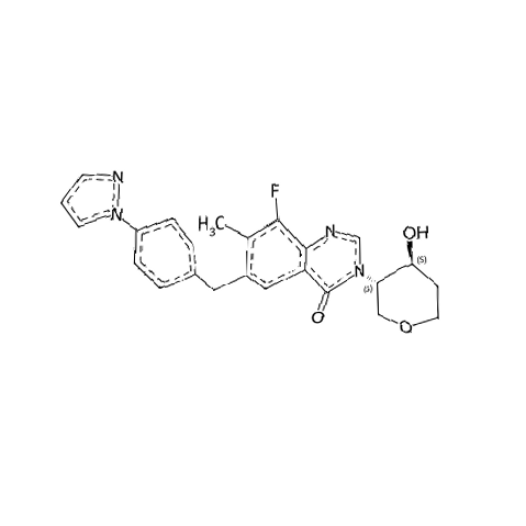 Cc1c(Cc2ccc(-n3cccn3)cc2)cc2c(=O)n([C@H]3COCC[C@@H]3O)cnc2c1F